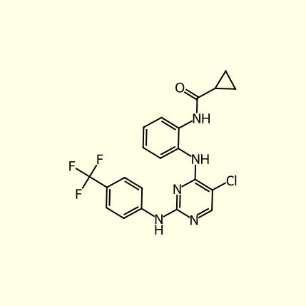 O=C(Nc1ccccc1Nc1nc(Nc2ccc(C(F)(F)F)cc2)ncc1Cl)C1CC1